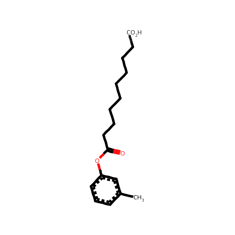 Cc1cccc(OC(=O)CCCCCCCCC(=O)O)c1